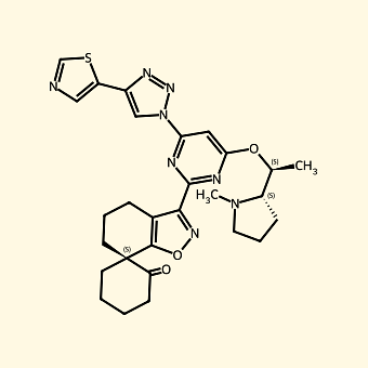 C[C@H](Oc1cc(-n2cc(-c3cncs3)nn2)nc(-c2noc3c2CCC[C@@]32CCCCC2=O)n1)[C@@H]1CCCN1C